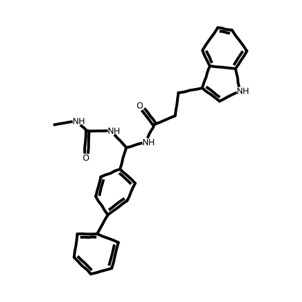 CNC(=O)NC(NC(=O)CCc1c[nH]c2ccccc12)c1ccc(-c2ccccc2)cc1